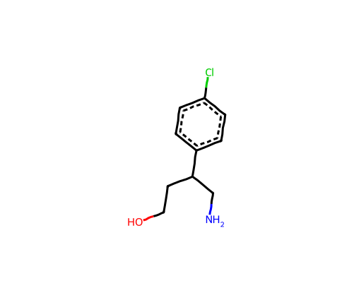 NCC(CCO)c1ccc(Cl)cc1